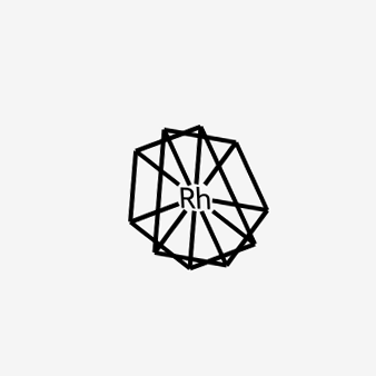 [CH]12[CH]3[CH]4[CH]5[CH]1[Rh]23451678[CH]2[CH]1[CH]6[CH]7[CH]28